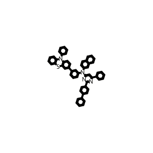 c1ccc(-c2ccc(-c3nc(-c4ccccc4)cc(N(c4cccc(-c5ccc6c(c5)Sc5ccccc5N6c5ccccc5)c4)c4ccc5ccccc5c4)n3)cc2)cc1